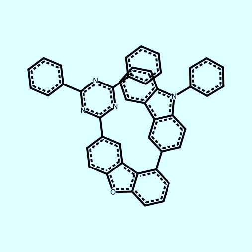 c1ccc(-c2nc(-c3ccccc3)nc(-c3ccc4oc5cccc(-c6ccc7c(c6)c6ccccc6n7-c6ccccc6)c5c4c3)n2)cc1